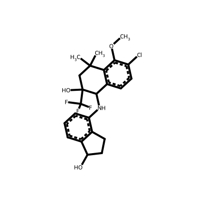 COc1c(Cl)ccc2c1C(C)(C)CC(O)(C(F)(F)F)C2Nc1cccc2c1CCC2O